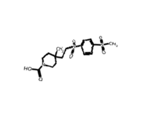 CC1(CCS(=O)(=O)c2ccc(S(C)(=O)=O)cc2)CCN(C(=O)O)CC1